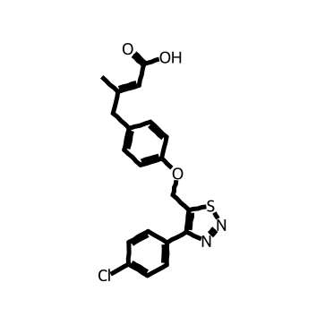 CC(=CC(=O)O)Cc1ccc(OCc2snnc2-c2ccc(Cl)cc2)cc1